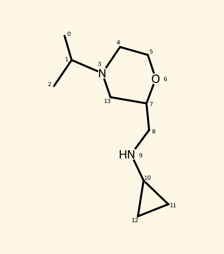 CC(C)N1CCOC(CNC2CC2)C1